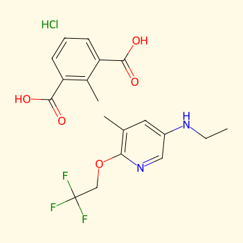 CCNc1cnc(OCC(F)(F)F)c(C)c1.Cc1c(C(=O)O)cccc1C(=O)O.Cl